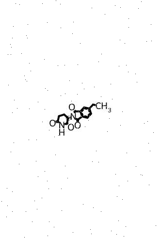 CCc1ccc2c(c1)C(=O)N([C@H]1CCC(=O)NC1=O)C2=O